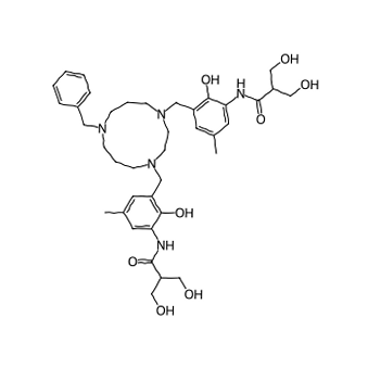 Cc1cc(CN2CCCN(Cc3ccccc3)CCCN(Cc3cc(C)cc(NC(=O)C(CO)CO)c3O)CC2)c(O)c(NC(=O)C(CO)CO)c1